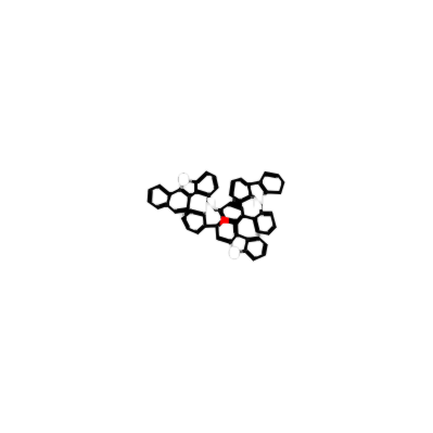 c1c(-c2ccccc2-n2c3c(c4ccccc42)C=CCC3)ccc(N(c2ccccc2-c2ccc3c(c2)oc2ccccc23)c2cccc3oc4c5ccccc5ccc4c23)c#1